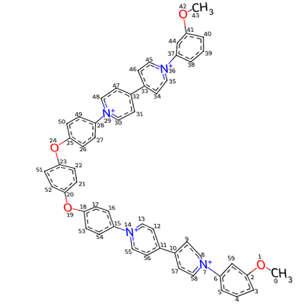 COc1cccc(-[n+]2ccc(-c3cc[n+](-c4ccc(Oc5ccc(Oc6ccc(-[n+]7ccc(-c8cc[n+](-c9cccc(OC)c9)cc8)cc7)cc6)cc5)cc4)cc3)cc2)c1